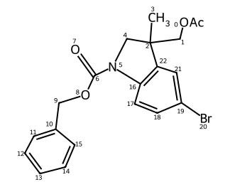 CC(=O)OCC1(C)CN(C(=O)OCc2ccccc2)c2ccc(Br)cc21